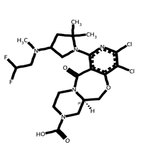 CN(CC(F)F)C1CN(c2nc(Cl)c(Cl)c3c2C(=O)N2CCN(C(=O)O)C[C@@H]2CO3)C(C)(C)C1